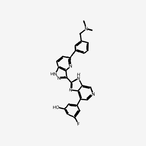 CN(C)Cc1cccc(-c2ccc3[nH]nc(-c4nc5c(-c6cc(O)cc(F)c6)cncc5[nH]4)c3n2)c1